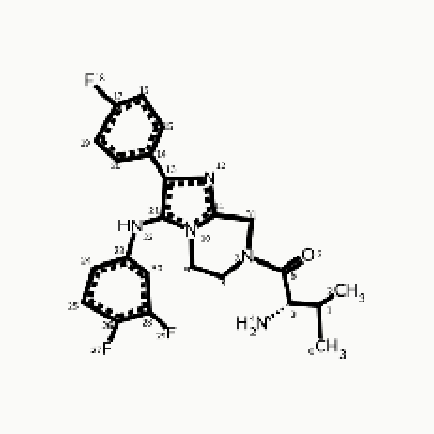 CC(C)[C@H](N)C(=O)N1CCn2c(nc(-c3ccc(F)cc3)c2Nc2ccc(F)c(F)c2)C1